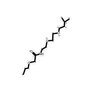 CCCSCC(=O)NCCOCCOCCC(C)C